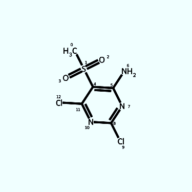 CS(=O)(=O)c1c(N)nc(Cl)nc1Cl